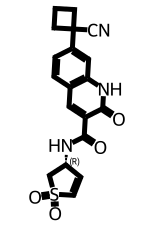 N#CC1(c2ccc3cc(C(=O)N[C@@H]4C=CS(=O)(=O)C4)c(=O)[nH]c3c2)CCC1